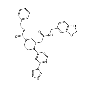 O=C(CC1CN(C(=O)OCc2ccccc2)CCN1c1ccnc(-n2ccnc2)n1)NCc1ccc2c(c1)OCO2